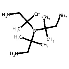 CC(C)(CN)N(C(C)(C)CN)C(C)(C)CN